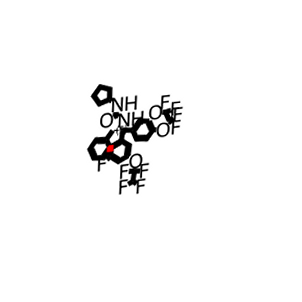 O=C(NC1CCCC1)N[C@](Cc1ccccc1)(c1cc(F)cc(OC(F)(F)C(F)F)c1)c1ccc2c(c1)OC(F)(F)C(F)(F)O2